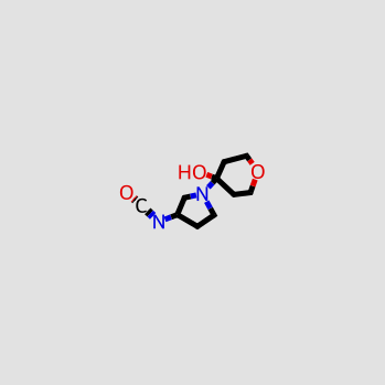 O=C=NC1CCN(C2(O)CCOCC2)C1